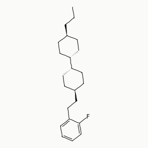 CCC[C@H]1CC[C@H]([C@H]2CC[C@H](CCc3ccccc3F)CC2)CC1